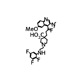 COc1ccc2ncc(N(C)C)c([C@@H](F)CCC3(C(=O)O)CCN(CCNc4cc(F)cc(F)c4F)CC3)c2c1